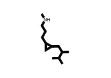 CNCCCC1CC1CC(C)C(C)C